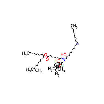 CCCCCCCC/C=C\CCCCCCC(O)CN(CCO[Si](C)(C)C(C)(C)C)CC(O)CCCCCC(=O)OC(CCCCCCCC)CCCCCCC(C)C